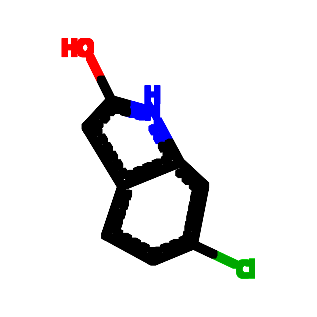 Oc1cc2ccc(Cl)cc2[nH]1